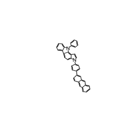 c1ccc(-n2c3ccccc3c3ccc4c(ccn4-c4ccc(-c5ccc6cc7ccccc7cc6c5)cc4)c32)cc1